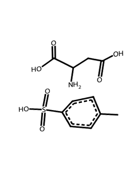 Cc1ccc(S(=O)(=O)O)cc1.NC(CC(=O)O)C(=O)O